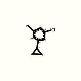 [CH2]c1cc(Cl)cc(C2CC2)c1